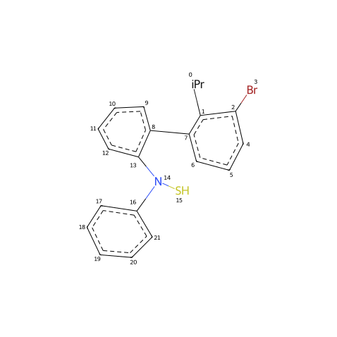 CC(C)c1c(Br)cccc1-c1ccccc1N(S)c1ccccc1